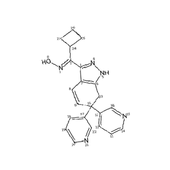 ON=C(c1n[nH]c2c1C=CC(c1cccnc1)(c1cccnc1)C2)C1CCC1